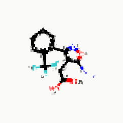 Nc1onc(-c2ccccc2C(F)(F)F)c1CC(=O)O